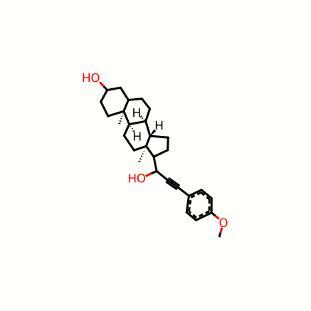 COc1ccc(C#CC(O)C2CC[C@H]3[C@@H]4CCC5CC(O)CC[C@]5(C)[C@@H]4CC[C@]23C)cc1